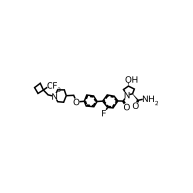 NC(=O)[C@@H]1C[C@@H](O)CN1C(=O)c1ccc(-c2ccc(OCC3CCN(CC4(C(F)(F)F)CCC4)CC3)cc2)c(F)c1